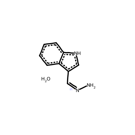 N/N=C\c1c[nH]c2ccccc12.O